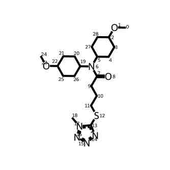 COC1CCC(N(C(=O)CCCSc2nnnn2C)C2CCC(OC)CC2)CC1